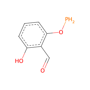 O=Cc1c(O)cccc1OP